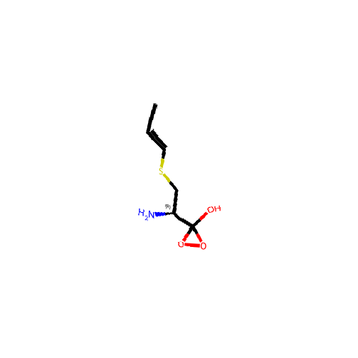 CC=CSC[C@H](N)C1(O)OO1